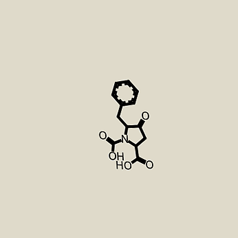 O=C(O)C1CC(=O)C(Cc2ccccc2)N1C(=O)O